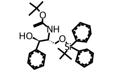 C=C(N[C@H](CO[Si](c1ccccc1)(c1ccccc1)C(C)(C)C)[C@H](O)c1ccccc1)OC(C)(C)C